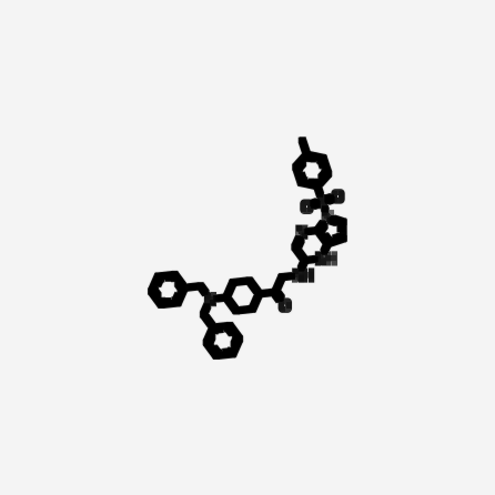 Cc1ccc(S(=O)(=O)n2ccc3c2N=CC(NCC(=O)C2CCC(N(Cc4ccccc4)Cc4ccccc4)CC2)N3)cc1